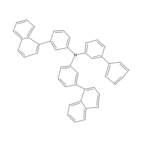 c1ccc(-c2cccc(N(c3cccc(-c4cccc5ccccc45)c3)c3cccc(-c4cccc5ccccc45)c3)c2)cc1